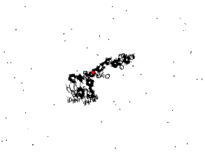 Cc1cc(F)c(Nc2nc(-c3ccc4c(c3)N(C3CC(N5CCCCC5)C3)C(=O)C4(CCCC3CCCN(CC4CCN(c5ccc6c(c5)C(=O)N(C5CCC(=O)NC5=O)C6=O)C4)C3)CCNC=O)cc3ncn(C(C)C)c23)cc1C(=O)NC(C)C